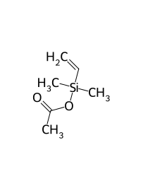 C=C[Si](C)(C)OC(C)=O